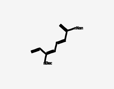 C=CC(=CC=CC(=C)CCCCCCCCC)CCCCCCCCCC